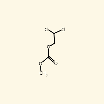 COC(=O)OCC(Cl)Cl